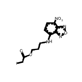 O=C(CI)OCCCNc1ccc([N+](=O)[O-])c2nonc12